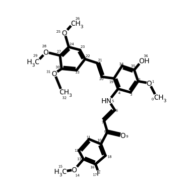 COc1cc(NC=CC(=O)c2ccc(OC)c(F)c2)c(C=Cc2cc(OC)c(OC)c(OC)c2)cc1O